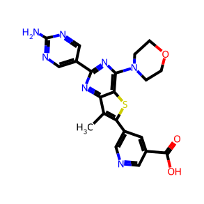 Cc1c(-c2cncc(C(=O)O)c2)sc2c(N3CCOCC3)nc(-c3cnc(N)nc3)nc12